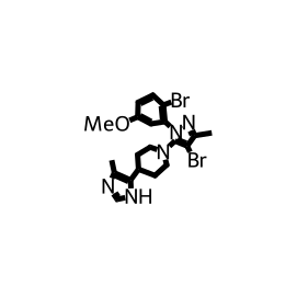 COc1ccc(Br)c(-n2nc(C)c(Br)c2N2CCC(c3[nH]cnc3C)CC2)c1